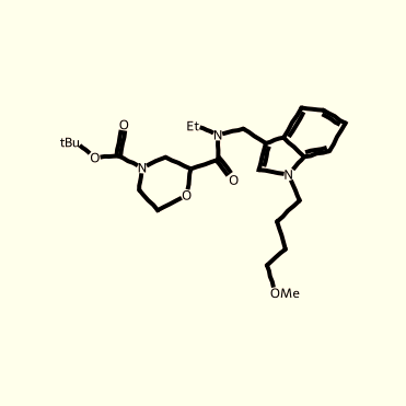 CCN(Cc1cn(CCCCOC)c2ccccc12)C(=O)C1CN(C(=O)OC(C)(C)C)CCO1